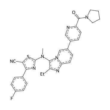 CCc1nc2ccc(-c3ccc(C(=O)N4CCCC4)nc3)cn2c1N(C)c1nc(-c2ccc(F)cc2)c(C#N)s1